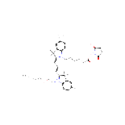 CCc1ccc2c(c1)C(C)(C)C(C=CC=C1N(CCCCCC(=O)ON3C(=O)CCC3=O)c3ccc(S(=O)(=O)O)cc3C1(C)C)=[N+]2CCOCCOC